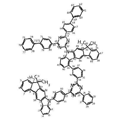 CC1(C)c2ccccc2-c2cc3c4ccccc4n(-c4ccc(-c5nc(-c6ccccc6)nc(-c6cccc(-c7cccc8c7c7cc9c(cc7n8-c7nc(-c8ccc(-c%10ccccc%10)cc8)nc(-c8ccc(-c%10ccccc%10)cc8)n7)C(C)(C)c7ccccc7-9)c6)n5)cc4)c3cc21